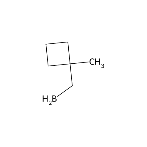 BCC1(C)CCC1